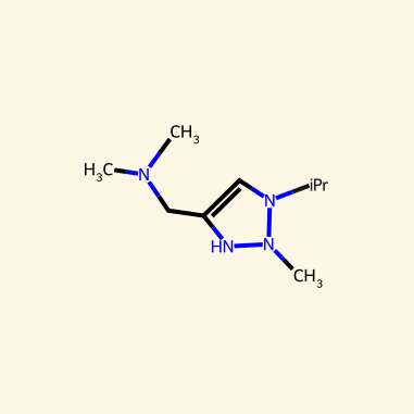 CC(C)N1C=C(CN(C)C)NN1C